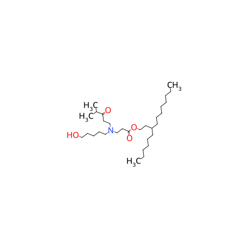 CCCCCCCCC(CCCCCC)CCOC(=O)CCN(CCCCCO)CCC(=O)C(C)C